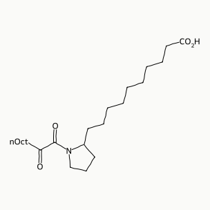 CCCCCCCCC(=O)C(=O)N1CCCC1CCCCCCCCCC(=O)O